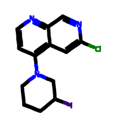 Clc1cc2c(N3CCCC(I)C3)ccnc2cn1